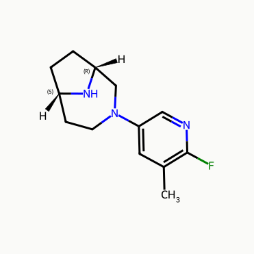 Cc1cc(N2CC[C@@H]3CC[C@H](C2)N3)cnc1F